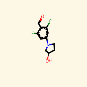 O=Cc1c(F)cc(N2CC[C@@H](O)C2)cc1F